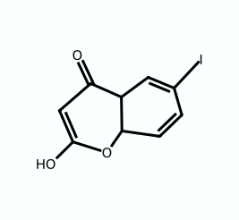 O=C1C=C(O)OC2C=CC(I)=CC12